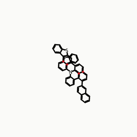 c1ccc(-c2ccccc2N(c2ccccc2-c2ccc3c(c2)sc2ccccc23)c2cccc3sc4ccccc4c23)c(-c2ccc3ccccc3c2)c1